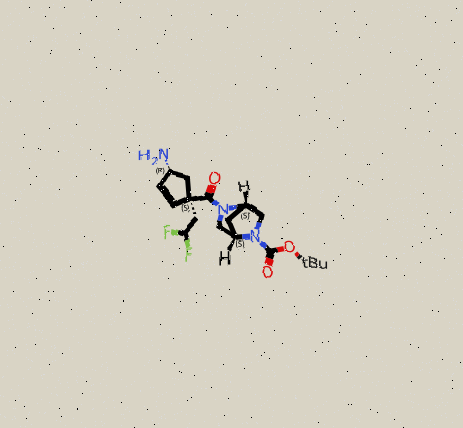 CC(C)(C)OC(=O)N1C[C@@H]2C[C@H]1CN2C(=O)[C@@]1(CC(F)F)C=C[C@H](N)C1